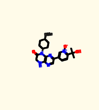 CO[C@H]1CC[C@H](N2C(=O)CNc3ncc(-c4ccc(C(C)(C)O)[n+]([O-])c4)nc32)CC1